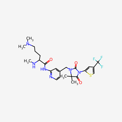 CNC(CCCN(C)C)C(=O)Nc1cc(CN2C(=O)N(c3cc(C(F)(F)F)cs3)C(=O)C2(C)C)ccn1